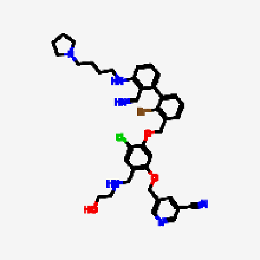 N#Cc1cncc(COc2cc(OCc3cccc(-c4cccc(NCCCCN5CCCC5)c4C=N)c3Br)c(Cl)cc2CNCCO)c1